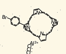 Brc1ccc(-c2cc3cc4nc(cc5ccc(cc6nc(cc2[nH]3)C=C6)[nH]5)C=C4)cc1.[Al+3].[Cl-].[Cl-].[Cl-]